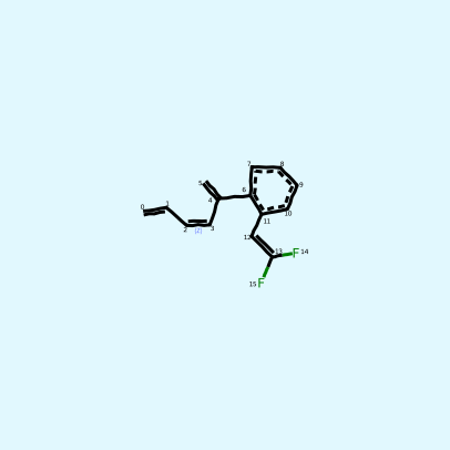 C=C/C=C\C(=C)c1ccccc1C=C(F)F